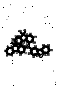 CC1(C)c2ccccc2-c2ccc(N(c3ccc4oc5ccccc5c4c3)c3cccc4c3-c3ccccc3C4(C)C)cc21